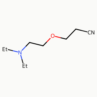 CCN(CC)CCOCCC#N